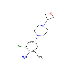 Nc1c(F)cc(N2CCN(C3COC3)CC2)cc1[N+](=O)[O-]